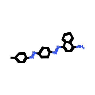 Cc1ccc(/N=N/c2ccc(/N=N/c3ccc(N)c4ccccc34)cc2)cc1